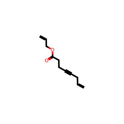 C=CCC#CCCC(=O)OCC=C